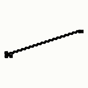 OCCCCCCCCCCCCCCCCCCCCCCCCCCCCCCCCCCC[Si](Cl)(Cl)Cl